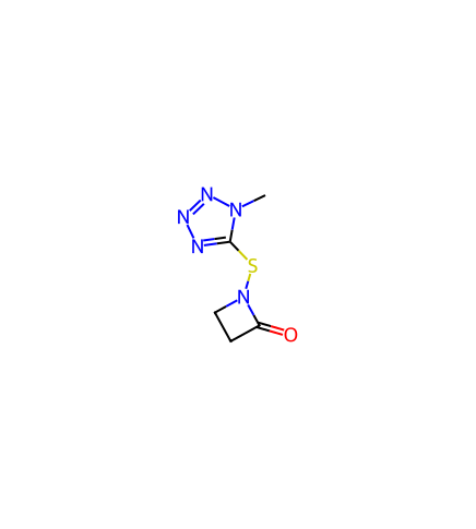 Cn1nnnc1SN1CCC1=O